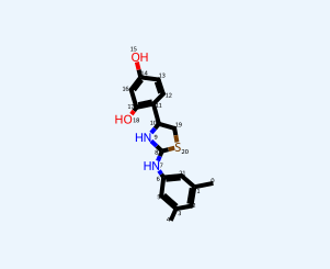 Cc1cc(C)cc(NC2NC(c3ccc(O)cc3O)CS2)c1